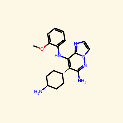 COc1ccccc1Nc1c2nccn2nc(N)c1[C@H]1CC[C@H](N)CC1